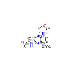 COc1ccc(N2CCCOCC2)c2ncc(NC(=O)C3CC3)nc12